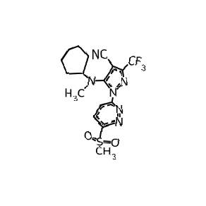 CN(c1c(C#N)c(C(F)(F)F)nn1-c1ccc(S(C)(=O)=O)nn1)C1CCCCC1